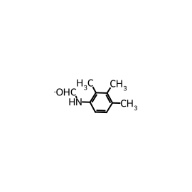 Cc1ccc(N[C]=O)c(C)c1C